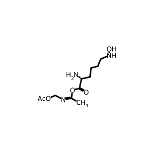 CC(=O)OCN=C(C)OC(=O)[C@@H](N)CCCCNO